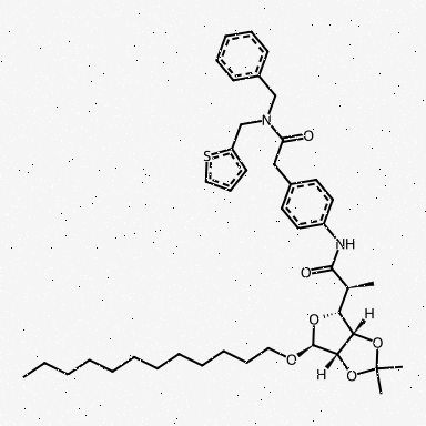 CCCCCCCCCCCCO[C@H]1O[C@H]([C@H](C)C(=O)Nc2ccc(CC(=O)N(Cc3ccccc3)Cc3cccs3)cc2)[C@@H]2OC(C)(C)O[C@H]12